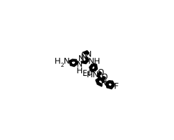 CCc1cc(Nc2cc(N[C@H]3CC[C@H](N)CC3)nn3ccnc23)ccc1NC(=O)c1cccn(-c2ccc(F)cc2)c1=O